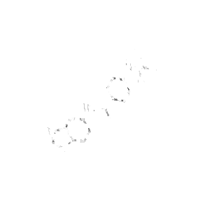 O=C(Nc1ccc2scnc2c1)c1ccc(N2CCCS2(=O)=O)cc1